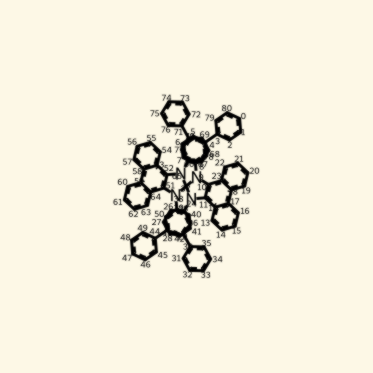 c1ccc(-c2cccc(N3c4c(c5ccccc5c5ccccc45)N(c4cccc(-c5ccccc5)c4)C34N(c3cccc(-c5ccccc5)c3)c3c(c5ccccc5c5ccccc35)N4c3cccc(-c4ccccc4)c3)c2)cc1